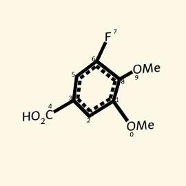 COc1cc(C(=O)O)cc(F)c1OC